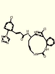 O=C(C=Cc1cc(Cl)ccc1-n1cnnn1)NC1CC=CCNC(=O)Nc2ccccc2-c2nc1[nH]c2Cl